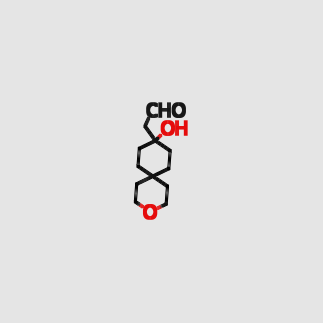 O=CCC1(O)CCC2(CCOCC2)CC1